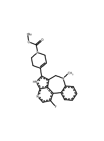 CN1Cc2c(C3=CCN(C(=O)OC(C)(C)C)CC3)[nH]c3ncc(F)c(c23)-c2ccccc21